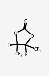 O=C1OC(F)(C(F)(F)F)C(F)(C(F)(F)F)O1